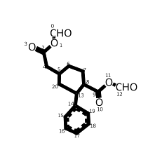 O=COC(=O)CC1CCC(C(=O)OC=O)C(c2ccccc2)C1